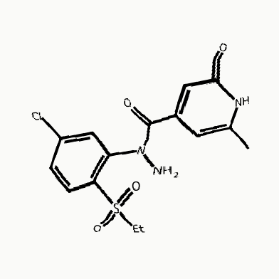 CCS(=O)(=O)c1ccc(Cl)cc1N(N)C(=O)c1cc(C)[nH]c(=O)c1